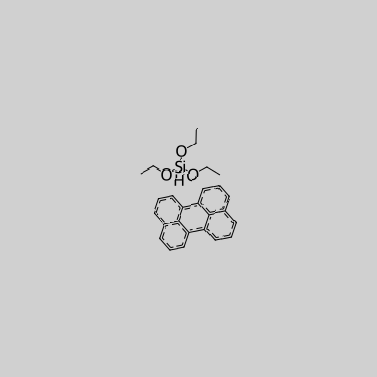 CCO[SiH](OCC)OCC.c1cc2cccc3c4cccc5cccc(c(c1)c23)c54